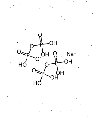 O=P(O)(O)OP(=O)(O)O.O=P([O-])(O)OP(=O)(O)O.[Na+]